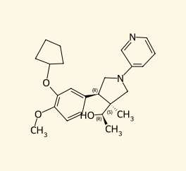 COc1ccc([C@H]2CN(c3cccnc3)C[C@@]2(C)[C@@H](C)O)cc1OC1CCCC1